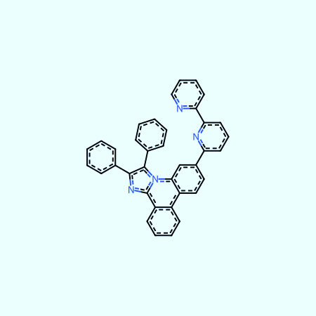 c1ccc(-c2nc3c4ccccc4c4ccc(-c5cccc(-c6ccccn6)n5)cc4n3c2-c2ccccc2)cc1